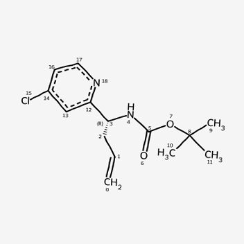 C=CC[C@@H](NC(=O)OC(C)(C)C)c1cc(Cl)ccn1